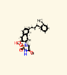 N#Cc1ccccc1CCCc1ccc2cc(O)c(N3CC(=O)NS3(=O)=O)cc2c1